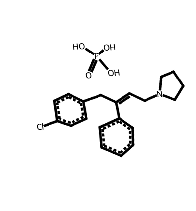 Clc1ccc(CC(=CCN2CCCC2)c2ccccc2)cc1.O=P(O)(O)O